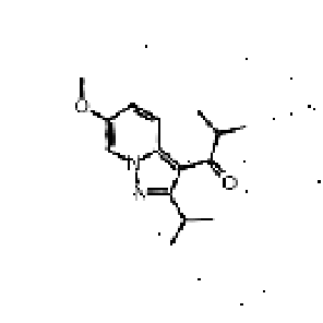 COc1ccc2c(C(=O)C(C)C)c(C(C)C)nn2c1